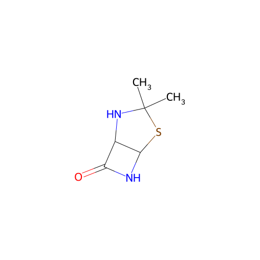 CC1(C)NC2C(=O)NC2S1